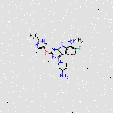 CNc1c(F)ccc2c1[nH]c1nc(Oc3cnc(C)nc3)nc(N3CC[C@@H](N)C3)c12